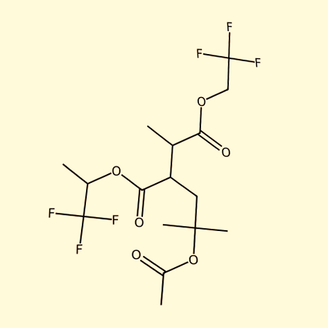 CC(=O)OC(C)(C)CC(C(=O)OC(C)C(F)(F)F)C(C)C(=O)OCC(F)(F)F